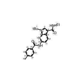 CCNC(=O)c1cn(C(C)(C)C)c2nc(NC(=O)c3ccc(C)cc3)ccc12